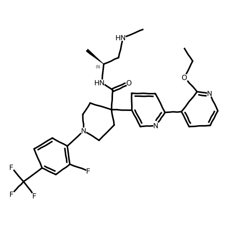 CCOc1ncccc1-c1ccc(C2(C(=O)N[C@@H](C)CNC)CCN(c3ccc(C(F)(F)F)cc3F)CC2)cn1